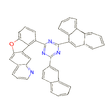 c1ccc2cc(-c3nc(-c4cc5ccccc5c5ccccc45)nc(-c4cccc5oc6cc7cccnc7cc6c45)n3)ccc2c1